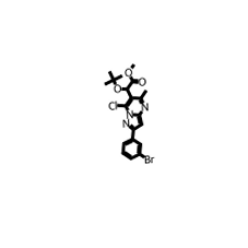 COC(=O)C(OC(C)(C)C)c1c(C)nc2cc(-c3cccc(Br)c3)nn2c1Cl